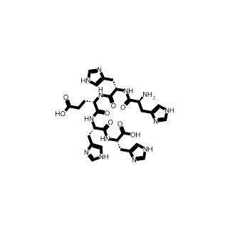 N[C@@H](Cc1c[nH]cn1)C(=O)N[C@@H](Cc1c[nH]cn1)C(=O)N[C@@H](CCC(=O)O)C(=O)N[C@@H](Cc1c[nH]cn1)C(=O)N[C@@H](Cc1c[nH]cn1)C(=O)O